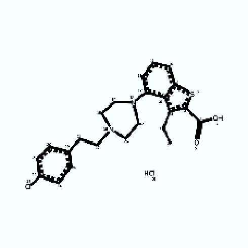 CCc1c(C(=O)O)sc2cccc(N3CCN(CCc4ccc(Cl)cc4)CC3)c12.Cl